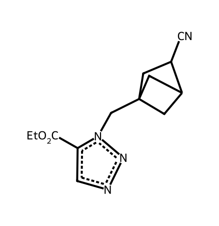 CCOC(=O)c1cnnn1CC12CC(C#N)C(C1)C2